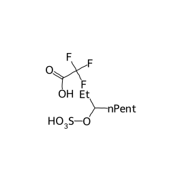 CCCCCC(CC)OS(=O)(=O)O.O=C(O)C(F)(F)F